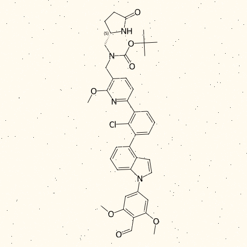 COc1cc(-n2ccc3c(-c4cccc(-c5ccc(CN(C[C@@H]6CCC(=O)N6)C(=O)OC(C)(C)C)c(OC)n5)c4Cl)cccc32)cc(OC)c1C=O